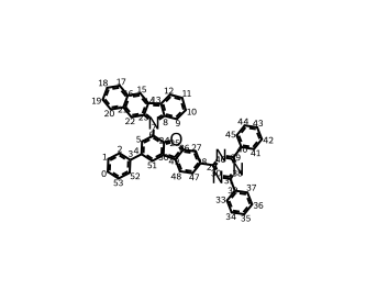 c1ccc(-c2cc(-n3c4ccccc4c4cc5ccccc5cc43)c3oc4cc(-c5nc(-c6ccccc6)nc(-c6ccccc6)n5)ccc4c3c2)cc1